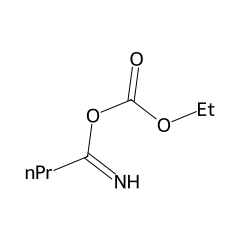 CCCC(=N)OC(=O)OCC